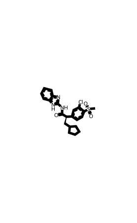 CS(=O)(=O)c1ccc([C@@H](CC2CCCC2)C(=O)Nc2nc3ccccc3[nH]2)cc1Cl